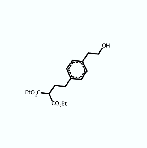 CCOC(=O)C(CCc1ccc(CCO)cc1)C(=O)OCC